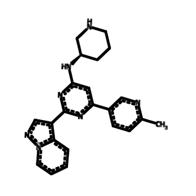 Cc1ccc(-c2cc(N[C@@H]3CCCNC3)nc(-c3cnn4ccccc34)n2)cn1